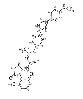 CCc1cccc(C)c1N1C(=O)CS/C1=N\C(O)OC(C)Cc1ccc(-c2ncn(-c3ccc(OC(F)(F)F)cc3)n2)cc1